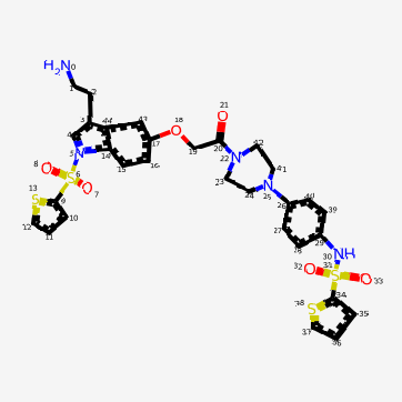 NCCc1cn(S(=O)(=O)c2cccs2)c2ccc(OCC(=O)N3CCN(c4ccc(NS(=O)(=O)c5cccs5)cc4)CC3)cc12